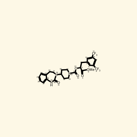 COC(=O)C(Cc1cc(C(F)(F)F)cc(C(F)(F)F)c1)OC(=O)N1CCC(N2CCc3ccccc3NC2=O)CC1